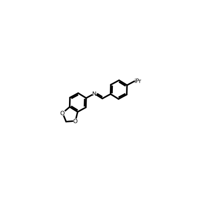 CC(C)c1ccc(C=Nc2ccc3c(c2)OCO3)cc1